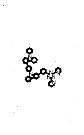 C1=Cc2c(n(-c3ccccc3)c3cccc(-c4ccc(-n5c6ccccc6c6ccc(-c7cccc(-c8nc(-c9ccccn9)nc(-c9ccccn9)n8)c7)cc65)cc4)c23)CC1